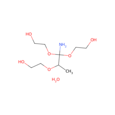 CC(OCCO)C(N)(OCCO)OCCO.O